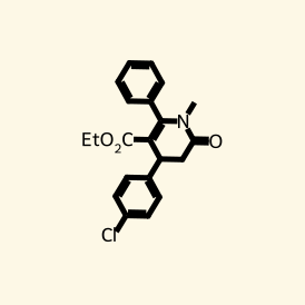 CCOC(=O)C1=C(c2ccccc2)N(C)C(=O)CC1c1ccc(Cl)cc1